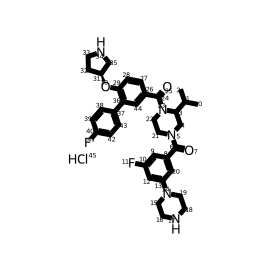 CC(C)C1CN(C(=O)c2cc(F)cc(N3CCNCC3)c2)CCN1C(=O)c1ccc(O[C@H]2CCNC2)c(-c2ccc(F)cc2)c1.Cl